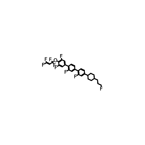 FCCCC1CCC(c2ccc(-c3ccc(-c4cc(F)c(OC(F)(F)C=C(F)F)c(F)c4)c(F)c3)c(F)c2)CC1